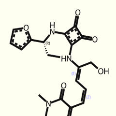 C=C(/C=C\C=C(/CO)Nc1c(N[C@H](CC)c2ccco2)c(=O)c1=O)C(=O)N(C)C